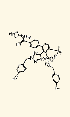 COc1ccc(CNS(=O)(=O)c2c(C(F)(F)F)ccc(-c3ccc(C(=N)NC4CNC4)cc3)c2-c2nnn(Cc3ccc(OC)cc3)n2)cc1